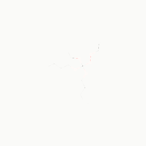 CCCCOC(OCC)(OCCCC)OOCC